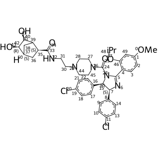 COc1ccc(C2=N[C@@H](c3ccc(Cl)cc3)[C@@H](c3ccc(Cl)cc3)N2C(=O)N2CCN(CCNC(=O)[C@H]3C[C@@H]4CC3[C@H](O)[C@@H]4O)CC2)c(OC(C)C)c1